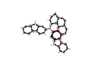 c1ccc2c(c1)ccc1ccc3cccc(N(c4ccc5c(c4)sc4ccccc45)c4ccc5c(c4)sc4ccccc45)c3c12